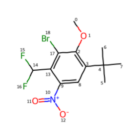 COc1c(C(C)(C)C)cc([N+](=O)[O-])c(C(F)F)c1Br